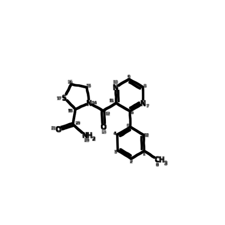 Cc1cccc(-c2nccnc2C(=O)N2CCSC2C(N)=O)c1